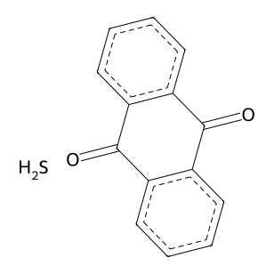 O=C1c2ccccc2C(=O)c2ccccc21.S